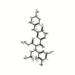 NCC(=O)N(C(=O)c1c[nH]c(=O)c(NC2=NCC(O)CN2)c1)[C@H](CC(=O)O)c1cc(Cl)cc(Br)c1O